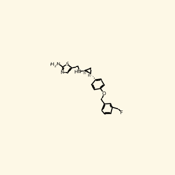 Nc1ncc(CN[C@H]2C[C@@H]2c2ccc(OCc3cccc(CF)c3)cc2)s1